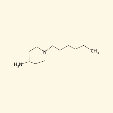 CCCCCCN1CCC(N)CC1